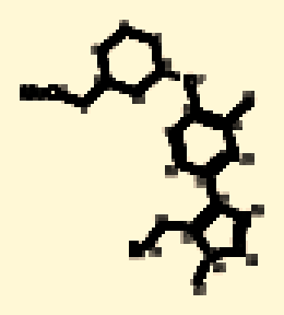 COCC1CCC[C@H](Oc2ccc(-c3nnn(C)c3CBr)nc2C)C1